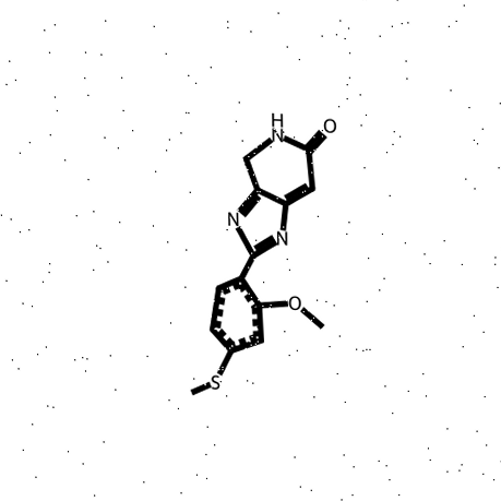 COc1cc(SC)ccc1C1=NC2=CC(=O)NCC2=N1